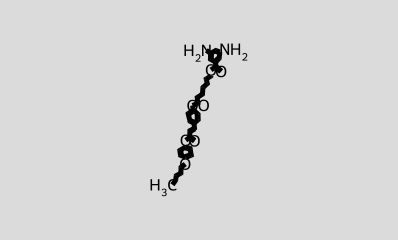 CCCCCOc1ccc(OC(=O)/C=C/c2ccc(OC(=O)CCCCCCOC(=O)c3cc(N)cc(N)c3)cc2)cc1